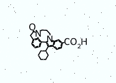 O=C(O)c1ccc2c(C3CCCCC3)c3n(c2c1)CCCN1C(=O)Cc2cccc-3c21